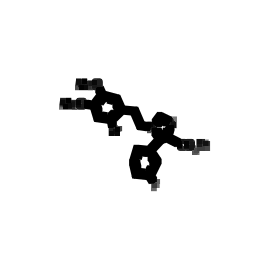 CCOC(=O)c1ncn(CCc2cc(OC)c(OC)cc2Br)c1-c1cccc(F)c1